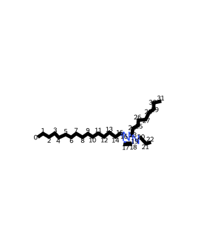 CCCCCCCCCCCCCCCCN1C=CN(CCC)C1CCCCCCCC